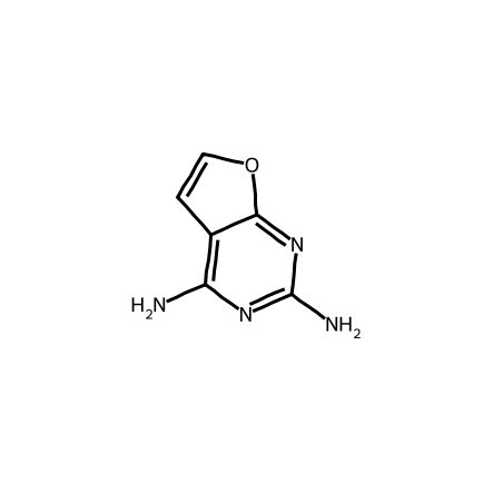 Nc1nc(N)c2ccoc2n1